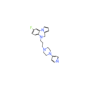 Fc1ccc2c(c1)-n1cccc1CN2CCCN1CCN(c2ccncc2)CC1